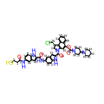 O=C(CCS)Nc1ccc2[nH]c(C(=O)Nc3ccc4[nH]c(C(=O)N5C[C@@H](CCl)c6c5cc(OC(=O)N5CCC(N7CCCCC7)CC5)c5ccccc65)cc4c3)cc2c1